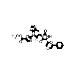 COC(=O)c1csc(NC(=O)[C@H](Cc2cscn2)N2C(=O)N[C@H](C3=COC=C(C4=CC=CCC4)O3)C2=O)n1